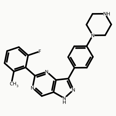 Cc1cccc(F)c1-c1ncc2[nH]nc(-c3ccc(N4CCNCC4)cc3)c2n1